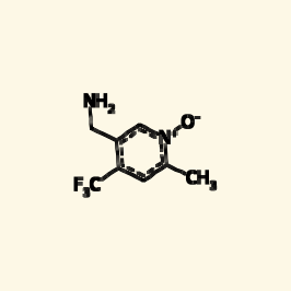 Cc1cc(C(F)(F)F)c(CN)c[n+]1[O-]